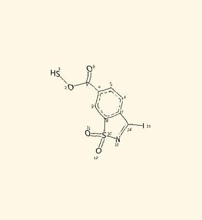 O=C(OS)c1ccc2c(c1)S(=O)(=O)N=C2I